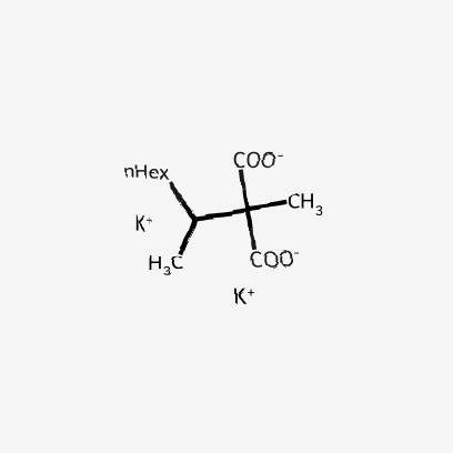 CCCCCCC(C)C(C)(C(=O)[O-])C(=O)[O-].[K+].[K+]